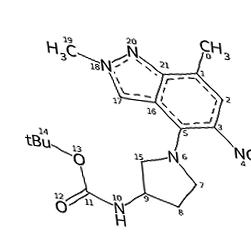 Cc1cc([N+](=O)[O-])c(N2CCC(NC(=O)OC(C)(C)C)C2)c2cn(C)nc12